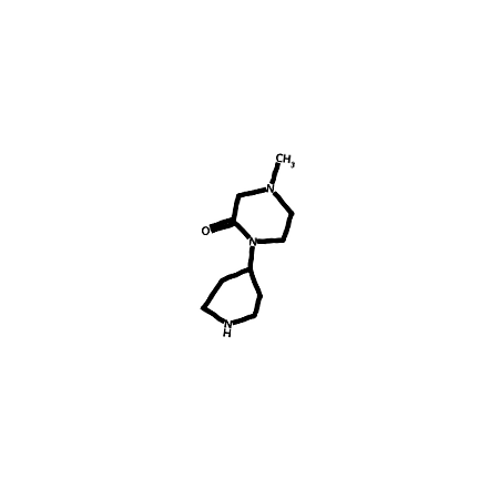 CN1CCN(C2CCNCC2)C(=O)C1